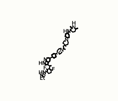 C=C1CCC(Nc2ccc(N3CCC(C)(CC(=C)N4CCN(c5ccc(-c6cnc7[nH]cc(C(=C)C8=C(F)CCC(NSN(C)CC)=C8F)c7c6)cc5)CC4)CC3)cc2)C(=C)N1